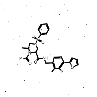 Cc1c(CNC(=O)C2CN(S(=O)(=O)c3ccccc3)CC(C)N2C(=O)C(C)C)ccc(-c2ccco2)c1F